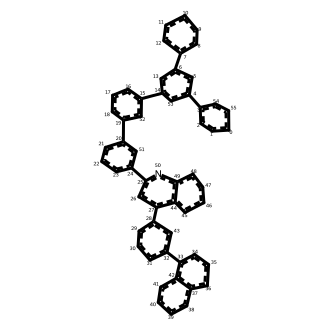 c1ccc(-c2cc(-c3ccccc3)cc(-c3cccc(-c4cccc(-c5cc(-c6cccc(-c7cccc8ccccc78)c6)c6ccccc6n5)c4)c3)c2)cc1